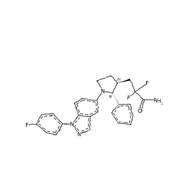 NC(=O)C(F)(F)C[C@@H]1CCN(c2ccc3c(cnn3-c3ccc(F)cc3)c2)[C@H]1c1ccccc1